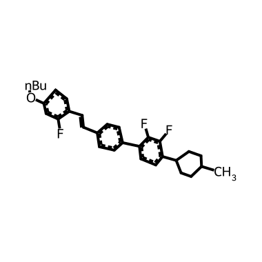 CCCCOc1ccc(/C=C/c2ccc(-c3ccc(C4CCC(C)CC4)c(F)c3F)cc2)c(F)c1